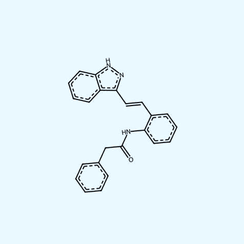 O=C(Cc1ccccc1)Nc1ccccc1/C=C/c1n[nH]c2ccccc12